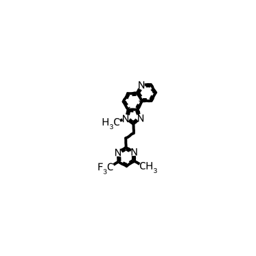 Cc1cc(C(F)(F)F)nc(CCc2nc3c4cccnc4ccc3n2C)n1